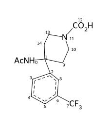 CC(=O)NC1(c2cccc(C(F)(F)F)c2)CCN(C(=O)O)CC1